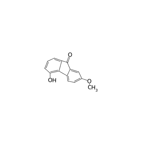 COc1ccc2c(c1)C(=O)c1cccc(O)c1-2